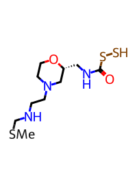 CSCNCCN1CCO[C@H](CNC(=O)SS)C1